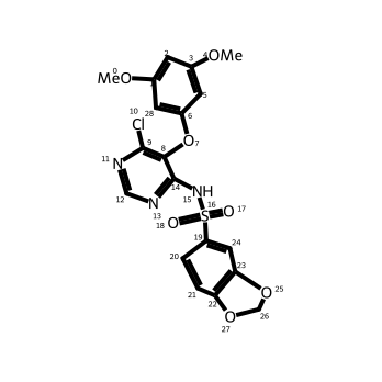 COc1cc(OC)cc(Oc2c(Cl)ncnc2NS(=O)(=O)c2ccc3c(c2)OCO3)c1